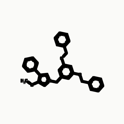 COc1cn(Cc2cc(OCc3ccccc3)cc(OCc3ccccc3)c2)cc1-c1ccccc1